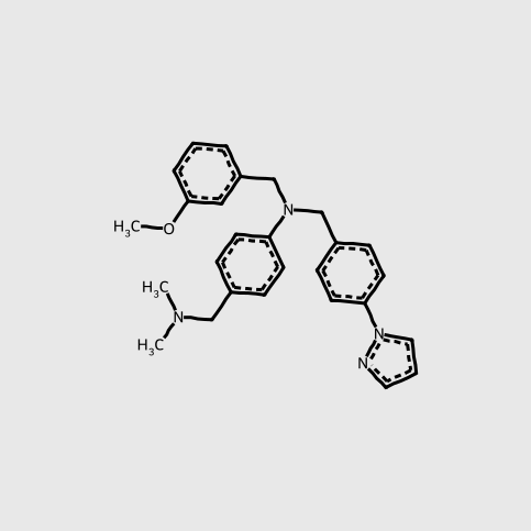 COc1cccc(CN(Cc2ccc(-n3cccn3)cc2)c2ccc(CN(C)C)cc2)c1